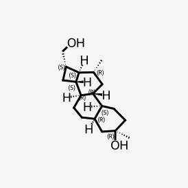 C[C@@H]1C[C@H]2[C@@H](CC[C@@H]3C[C@](C)(O)CC[C@@H]32)[C@@H]2C[C@H](CO)[C@H]21